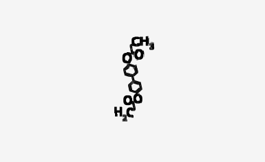 C=CC(=O)Oc1ccc(-c2ccc(OC(=O)CC)cc2)cc1